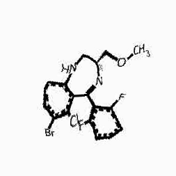 COC[C@@H]1CNc2ccc(Br)c(Cl)c2C(c2c(F)cccc2F)=N1